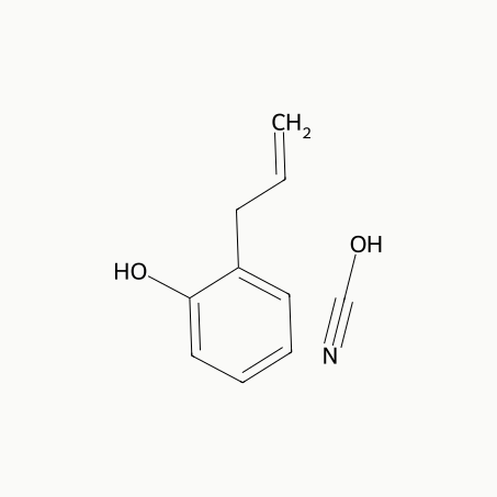 C=CCc1ccccc1O.N#CO